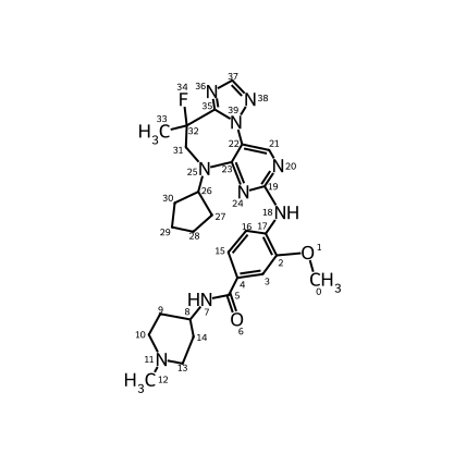 COc1cc(C(=O)NC2CCN(C)CC2)ccc1Nc1ncc2c(n1)N(C1CCCC1)CC(C)(F)c1ncnn1-2